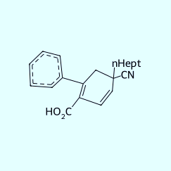 CCCCCCCC1(C#N)C=CC(C(=O)O)=C(c2ccccc2)C1